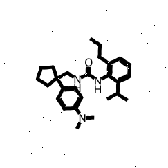 CCCc1cccc(C(C)C)c1NC(=O)NCC1(c2ccc(N(C)C)cc2)CCCC1